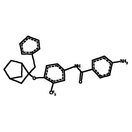 Nc1ccc(C(=O)Nc2ccc(OC3(Cc4ccccc4)CC4CCC3C4)c(C(F)(F)F)c2)cc1